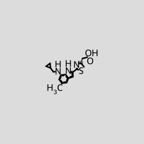 Cc1cc(NCC2CC2)c2[nH]c(C3=N[C@@H](CC(=O)O)CS3)cc2c1